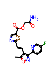 Cc1onc(-c2ccc(F)cn2)c1C=Cc1ncc(C(=O)OCC(N)=O)s1